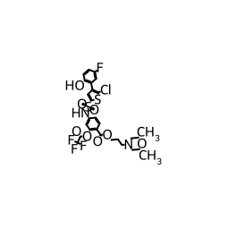 CC1CN(CCCOC(=O)c2ccc(NS(=O)(=O)c3cc(-c4cc(F)ccc4O)c(Cl)s3)cc2OC(=O)C(F)(F)F)CC(C)O1